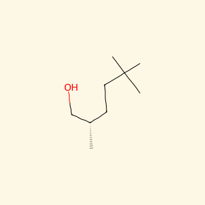 C[C@H](CO)CCC(C)(C)C